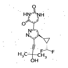 CC(C)(O)C#Cc1nnc(-c2c[nH]c(=O)[nH]c2=O)cc1[C@H]1C[C@@H]1C(F)F